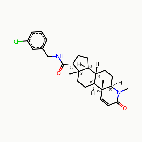 CN1C(=O)C=C[C@]2(C)[C@H]3CC[C@]4(C)[C@@H](C(=O)NCc5cccc(Cl)c5)CC[C@H]4[C@@H]3CC[C@@H]12